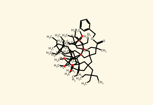 CCCC(CC)(CC)CC(CC(CC)(CC)CC)(CC(CC)(CC)CC)CC(CC(CC)(CC)CC)(CC(CC)(CC)CC)CC(CC(CC(CC)(CC)CC)(CC(CC)(CC)CC)CC(CC)(CC)CC)(CC(CC(CC)(CC)CC)(CC(CC)(CC)CC)CC(CC)(CC)CC)CC(C)(CC)C(=O)OCc1ccccc1